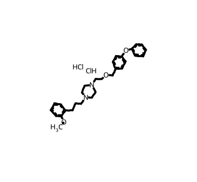 COc1ccccc1CCCN1CCN(CCOCc2ccc(Oc3ccccc3)cc2)CC1.Cl.Cl